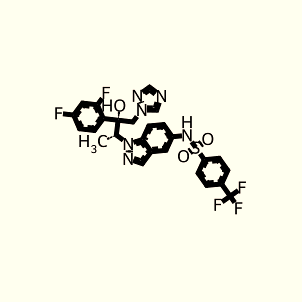 C[C@@H](n1ncc2cc(NS(=O)(=O)c3ccc(C(F)(F)F)cc3)ccc21)[C@](O)(Cn1cncn1)c1ccc(F)cc1F